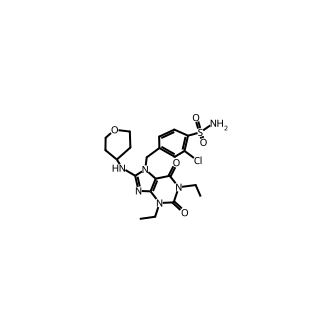 CCn1c(=O)c2c(nc(NC3CCOCC3)n2Cc2ccc(S(N)(=O)=O)c(Cl)c2)n(CC)c1=O